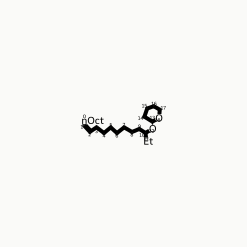 CCCCCCCC/C=C\CCCCCCCC(CC)O[C@@H]1CCCCO1